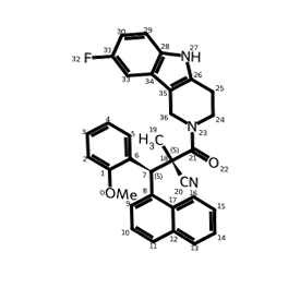 COc1ccccc1[C@H](c1cccc2ccccc12)[C@@](C)(C#N)C(=O)N1CCc2[nH]c3ccc(F)cc3c2C1